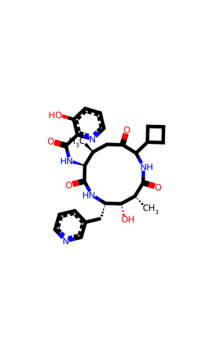 C[C@H]1CC(=O)C(C2CCC2)NC(=O)[C@H](C)[C@H](O)[C@H](Cc2cccnc2)NC(=O)[C@H]1NC(=O)c1ncccc1O